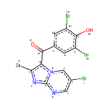 CCc1nc2ncc(Br)cn2c1C(=O)c1cc(Br)c(O)c(Br)c1